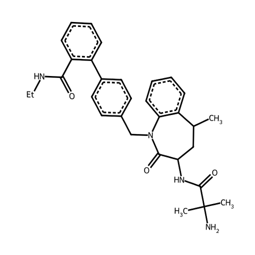 CCNC(=O)c1ccccc1-c1ccc(CN2C(=O)C(NC(=O)C(C)(C)N)CC(C)c3ccccc32)cc1